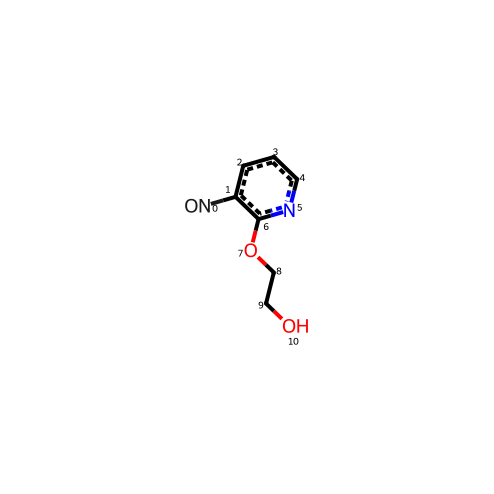 O=Nc1cccnc1OCCO